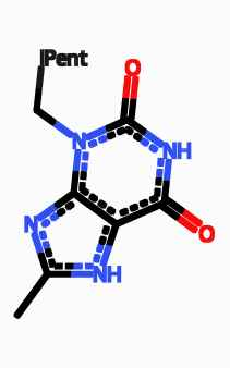 CCCC(C)Cn1c(=O)[nH]c(=O)c2[nH]c(C)nc21